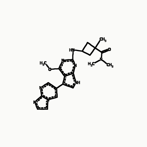 COc1nc(NC2CC(C)(C(=O)N(C)C)C2)nc2[nH]cc(-c3cnc4nccn4c3)c12